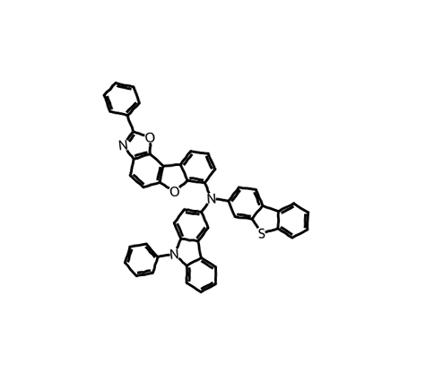 c1ccc(-c2nc3ccc4oc5c(N(c6ccc7c(c6)sc6ccccc67)c6ccc7c(c6)c6ccccc6n7-c6ccccc6)cccc5c4c3o2)cc1